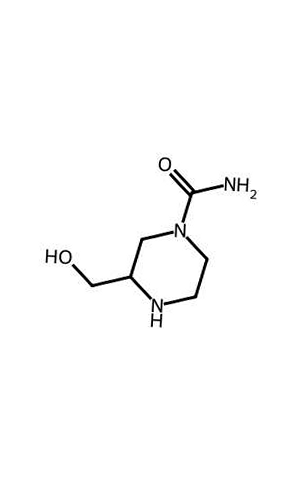 NC(=O)N1CCNC(CO)C1